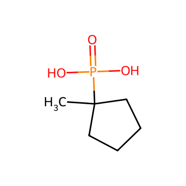 CC1(P(=O)(O)O)CCCC1